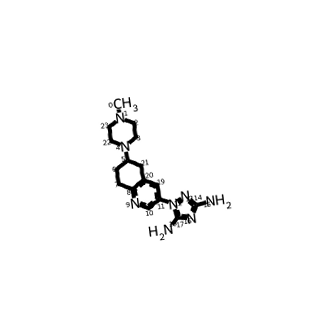 CN1CCN(C2CCc3ncc(-n4nc(N)nc4N)cc3C2)CC1